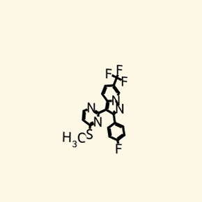 CSc1ccnc(-c2c(-c3ccc(F)cc3)nn3cc(C(F)(F)F)ccc23)n1